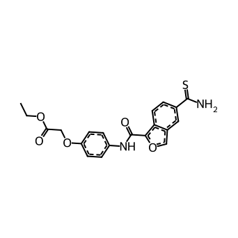 CCOC(=O)COc1ccc(NC(=O)c2occ3cc(C(N)=S)ccc23)cc1